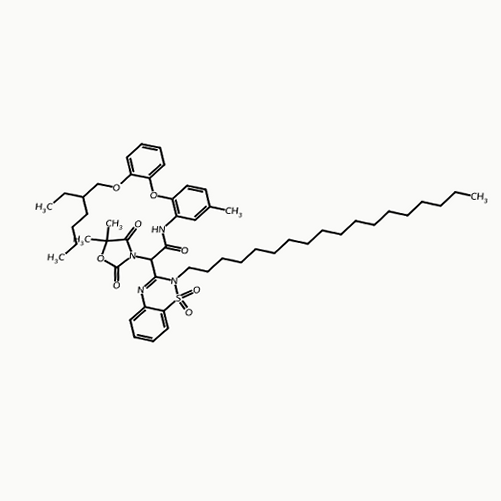 CCCCCCCCCCCCCCCCCCN1C(C(C(=O)Nc2cc(C)ccc2Oc2ccccc2OCC(CC)CCCC)N2C(=O)OC(C)(C)C2=O)=Nc2ccccc2S1(=O)=O